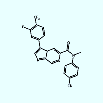 CN(C(=O)c1cn2c(-c3ccc(C(F)(F)F)c(F)c3)cnc2cn1)c1ccc(C#N)cc1